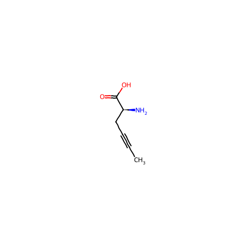 CC#CC[C@H](N)C(=O)O